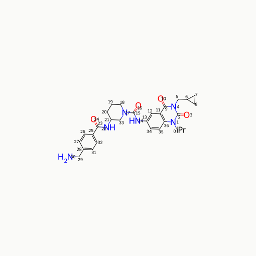 CC(C)n1c(=O)n(CC2CC2)c(=O)c2cc(NC(=O)N3CCCC(NC(=O)c4ccc(CN)cc4)C3)ccc21